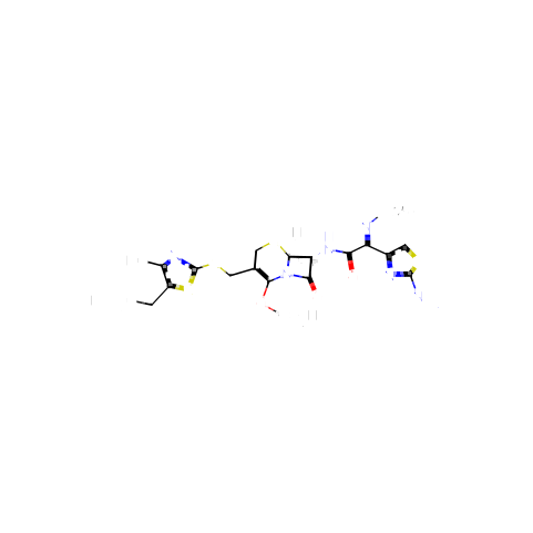 CCOC(=O)Cc1sc(SCC2=C(OC(=O)O)N3C(=O)[C@@H](NC(=O)C(=NOC)c4csc(N)n4)[C@@H]3SC2)nc1C